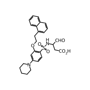 O=CC(CC(=O)O)NS(=O)(=O)c1ccc(N2CCCCC2)cc1OCCc1cccc2ccccc12